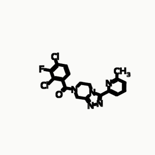 Cc1cccc(-c2nnc3n2CCN(C(=O)c2ccc(Cl)c(F)c2Cl)C3)n1